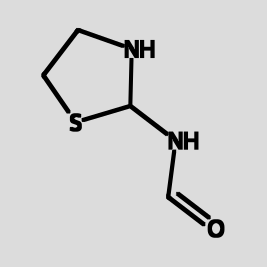 O=CNC1NCCS1